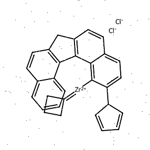 C1=CC(c2ccc3ccc4c(c3[c]2[Zr+2]=[C]2CCC2)-c2c(ccc3ccccc23)C4)C=C1.[Cl-].[Cl-]